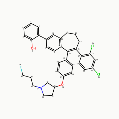 Oc1ccccc1-c1ccc2c(c1)CCCC(c1ccc(Cl)cc1Cl)=C2c1ccc(OC2CCN(CCCF)C2)cc1